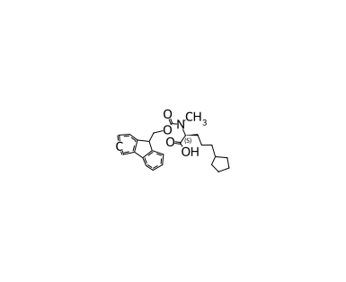 CN(C(=O)OCC1c2ccccc2-c2ccccc21)[C@@H](CCCC1CCCC1)C(=O)O